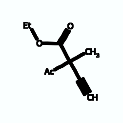 C#CC(C)(C(C)=O)C(=O)OCC